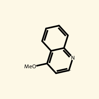 COc1c[c]nc2ccccc12